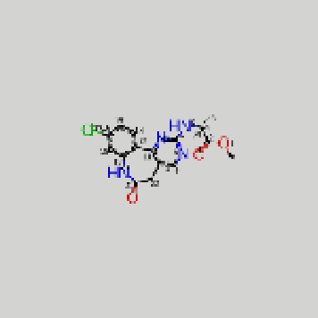 COC(=O)[C@@H](C)Nc1ncc2c(n1)-c1ccc(Cl)cc1NC(=O)C2